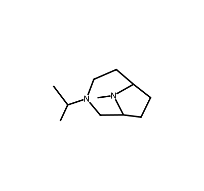 CC(C)N1CCC2CCC(C1)N2C